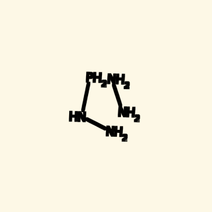 NN.NNP